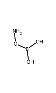 NOB(O)O